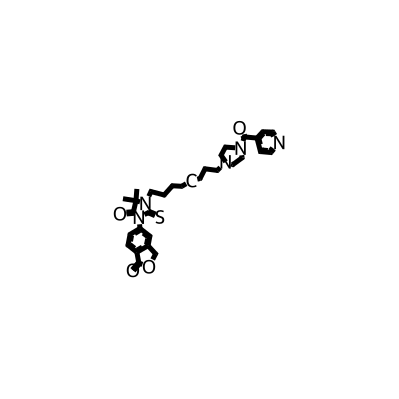 CC1(C)C(=O)N(c2ccc3c(c2)COC3=O)C(=S)N1CCCCCCCCN1CCN(C(=O)c2ccncc2)CC1